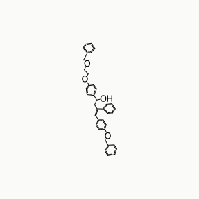 OC(CC(=Cc1ccc(OCc2ccccc2)cc1)c1ccccc1)c1ccc(OCCOCc2ccccc2)cc1